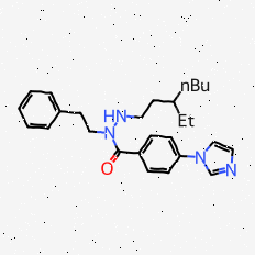 CCCCC(CC)CCNN(CCc1ccccc1)C(=O)c1ccc(-n2ccnc2)cc1